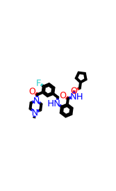 CN1CCN(C(=O)c2cc(CNc3ccccc3C(=O)NOCC3CCCC3)ccc2F)CC1